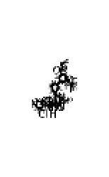 CCOC(=O)c1cc(OC(F)(F)F)cc(-c2cccc(-c3cc(NC(=O)Nc4c(Cl)cncc4Cl)c(=O)n(CC)n3)c2)c1